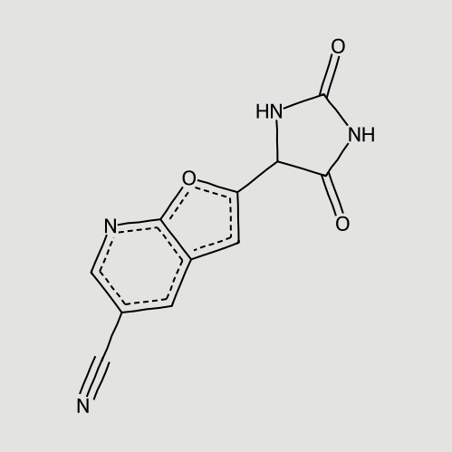 N#Cc1cnc2oc(C3NC(=O)NC3=O)cc2c1